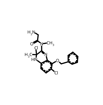 CN(C(=O)CN)C1=Nc2c(ccc(Cl)c2OCc2ccccc2)NC1(C)Cl